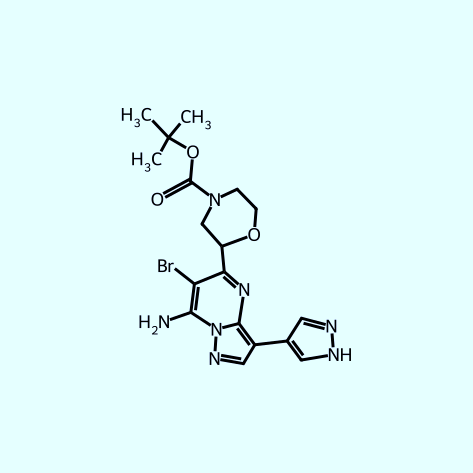 CC(C)(C)OC(=O)N1CCOC(c2nc3c(-c4cn[nH]c4)cnn3c(N)c2Br)C1